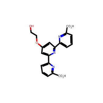 O=C(O)c1cccc(-c2cc(OCCO)cc(-c3cccc(C(=O)O)n3)n2)n1